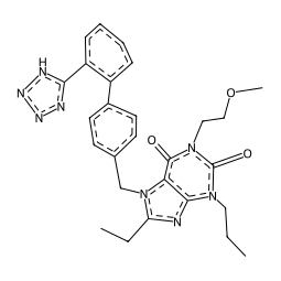 CCCn1c(=O)n(CCOC)c(=O)c2c1nc(CC)n2Cc1ccc(-c2ccccc2-c2nnn[nH]2)cc1